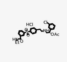 CCNC(=O)c1cccc(S(=O)(=O)c2ccc(CCNC[C@@H](OC(C)=O)c3cccc(Cl)c3)cc2)c1.Cl